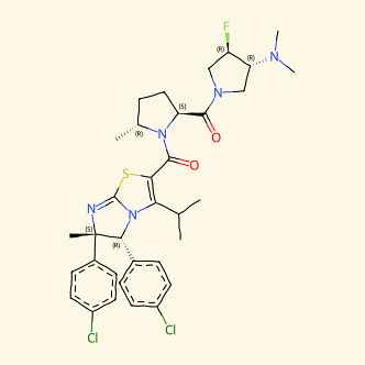 CC(C)C1=C(C(=O)N2[C@H](C)CC[C@H]2C(=O)N2C[C@@H](F)[C@H](N(C)C)C2)SC2=N[C@@](C)(c3ccc(Cl)cc3)[C@@H](c3ccc(Cl)cc3)N21